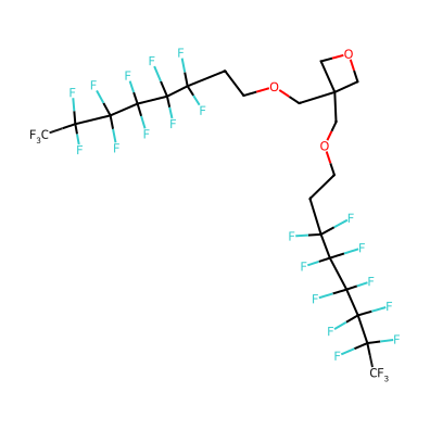 FC(F)(F)C(F)(F)C(F)(F)C(F)(F)C(F)(F)C(F)(F)CCOCC1(COCCC(F)(F)C(F)(F)C(F)(F)C(F)(F)C(F)(F)C(F)(F)F)COC1